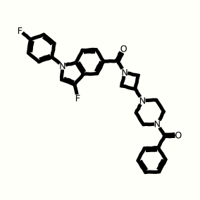 O=C(c1ccccc1)N1CCN(C2CN(C(=O)c3ccc4c(c3)c(F)cn4-c3ccc(F)cc3)C2)CC1